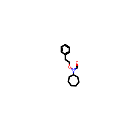 O=CN(OCCc1ccccc1)C1CCCCCC1